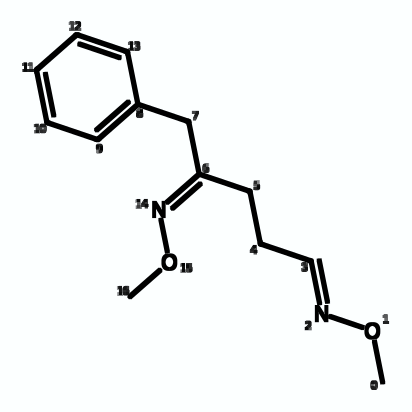 CON=CCCC(Cc1ccccc1)=NOC